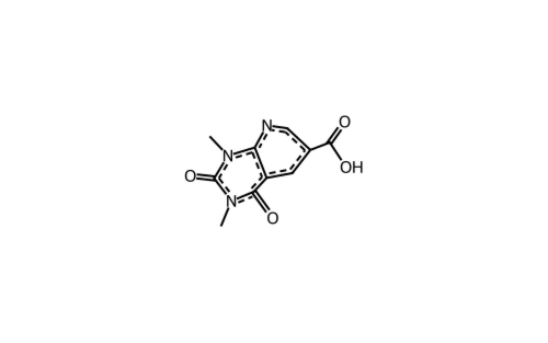 Cn1c(=O)c2cc(C(=O)O)cnc2n(C)c1=O